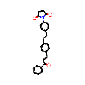 O=C(C=Cc1ccc(CCc2ccc(N3C(=O)C=CC3=O)cc2)cc1)c1ccccc1